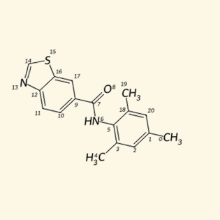 Cc1cc(C)c(NC(=O)c2ccc3ncsc3c2)c(C)c1